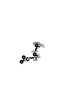 CCc1c(C=CC(=O)Nc2ccc3c(c2)c(=O)[nH]c(=O)n3CCCCN2CCC(OC(c3ccccc3)c3ccccc3)CC2)cc(OC)c(O)c1OC.Cl